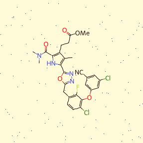 COC(=O)CCc1c(C(=O)N(C)C)[nH]c(-c2nnc(Cc3ccc(Cl)c(Oc4cc(Cl)cc(C#N)c4)c3F)o2)c1C